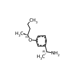 CCC[C@H](C)Oc1cccc([C@@H](C)N)c1